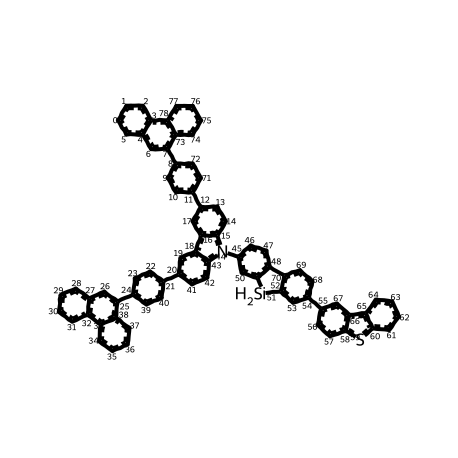 c1ccc2c(c1)cc(-c1ccc(-c3ccc4c(c3)c3cc(-c5ccc(-c6cc7ccccc7c7ccccc67)cc5)ccc3n4-c3ccc4c(c3)[SiH2]c3cc(-c5ccc6sc7ccccc7c6c5)ccc3-4)cc1)c1ccccc12